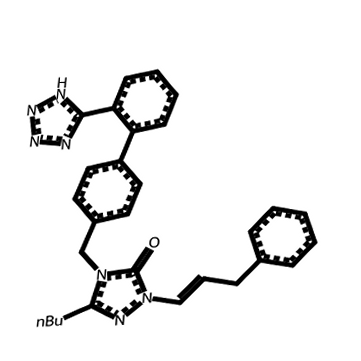 CCCCc1nn(C=CCc2ccccc2)c(=O)n1Cc1ccc(-c2ccccc2-c2nnn[nH]2)cc1